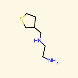 NCCNCC1CCSC1